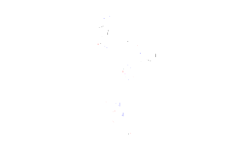 CC(C)(C)OC(=O)n1cc(CC(NC(=O)C2CCC(CNC(=O)c3ccc(NN)cc3)CC2)C(=O)NCCCCC(NC(=O)NC(CCC(=O)O)C(=O)O)C(=O)O)c2ccccc21